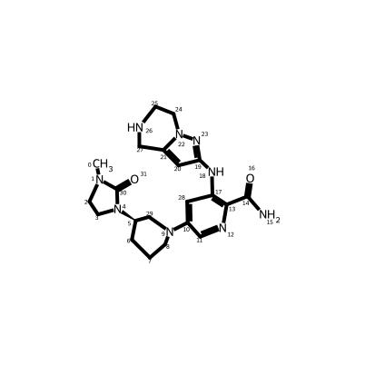 CN1CCN([C@@H]2CCCN(c3cnc(C(N)=O)c(Nc4cc5n(n4)CCNC5)c3)C2)C1=O